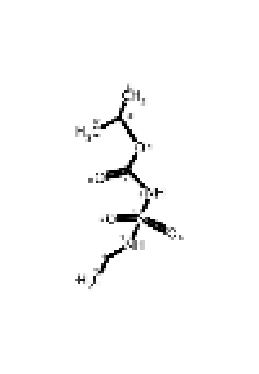 [CH2]CNS(=O)(=O)NC(=O)OC(C)C